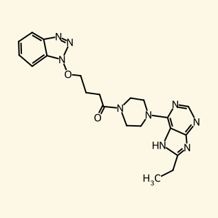 CCc1nc2ncnc(N3CCN(C(=O)CCCOn4nnc5ccccc54)CC3)c2[nH]1